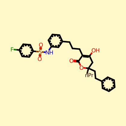 CCCC1(CCc2ccccc2)CC(O)=C(CCCc2cccc(NS(=O)(=O)c3ccc(F)cc3)c2)C(=O)O1